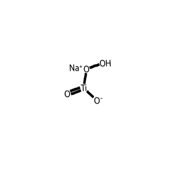 [Na+].[O]=[Ti]([O-])[O]O